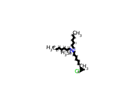 C1CC1.CCCCCCC[N+]([SiH3])(CCCCCCC)CCCCCCC.[Cl-]